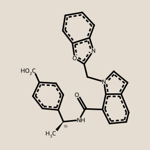 C[C@H](NC(=O)c1cccc2ccn(Cc3nc4ccccc4o3)c12)c1ccc(C(=O)O)cc1